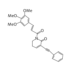 COc1cc(C=CC(=O)N2CCC=C(C#Cc3ccccc3)C2=O)cc(OC)c1OC